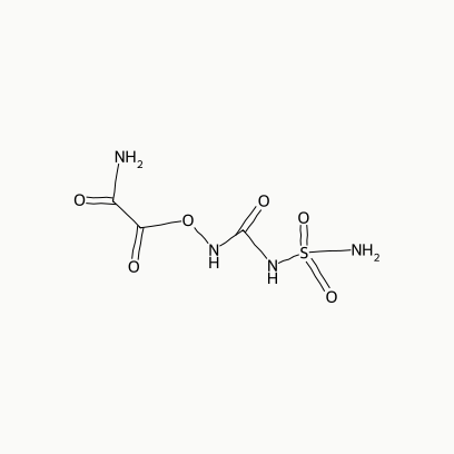 NC(=O)C(=O)ONC(=O)NS(N)(=O)=O